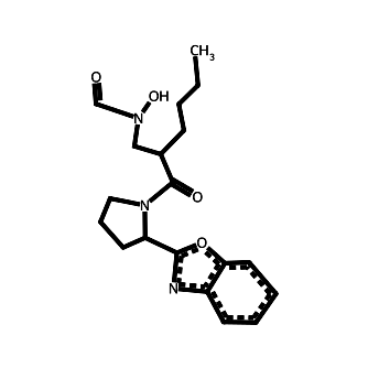 CCCCC(CN(O)C=O)C(=O)N1CCCC1c1nc2ccccc2o1